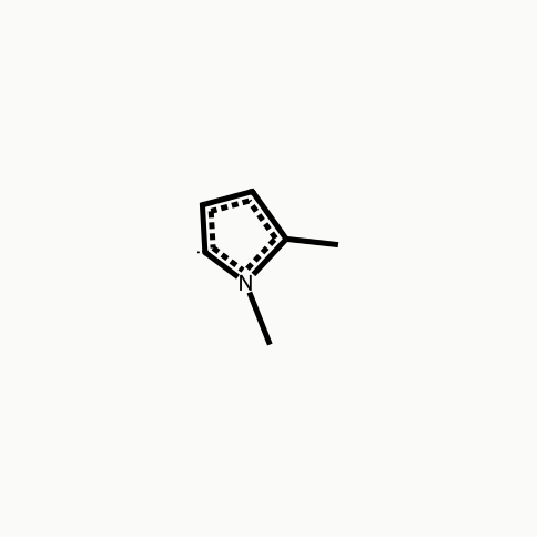 Cc1cc[c]n1C